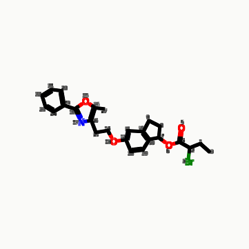 CCC(Br)C(=O)OC1CCc2cc(OCCc3nc(-c4ccccc4)oc3C)ccc21